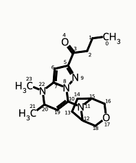 CCCC(=O)c1cc2n(n1)C(N1C3CCC1COC3)=CC(C)N2C